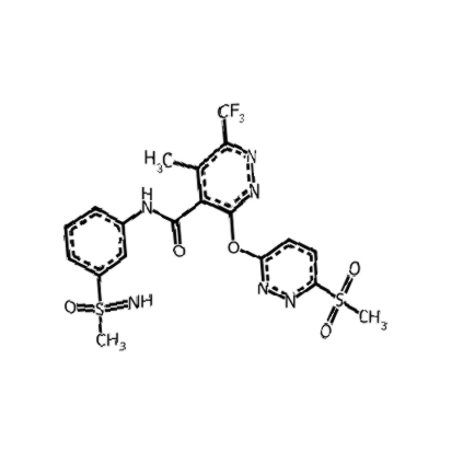 Cc1c(C(F)(F)F)nnc(Oc2ccc(S(C)(=O)=O)nn2)c1C(=O)Nc1cccc(S(C)(=N)=O)c1